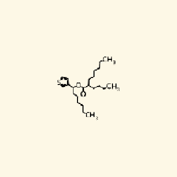 CCCCCCC(CCCC)C(=O)OC(CCCCCC)c1ccsc1